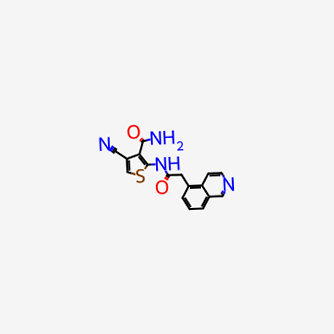 N#Cc1csc(NC(=O)Cc2cccc3cnccc23)c1C(N)=O